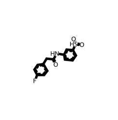 O=C(Cc1ccc(F)cc1)Nc1cccc([SH](=O)=O)c1